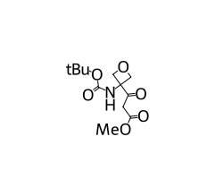 COC(=O)CC(=O)C1(NC(=O)OC(C)(C)C)COC1